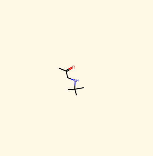 CC(=O)CNC(C)(C)C